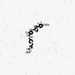 CCc1cc(Nc2nccn3c(-c4ccc(OC)c(F)c4F)cnc23)ccc1C(=O)NCC1CCN(CC2CN(C(=O)OC(C)(C)C)C2)CC1